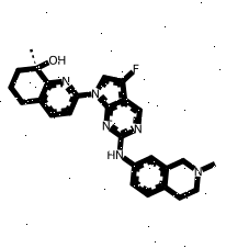 CN1CCc2ccc(Nc3ncc4c(F)cn(-c5ccc6c(n5)[C@](C)(O)CCC6)c4n3)cc2C1